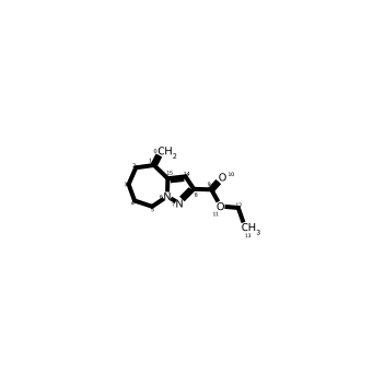 C=C1CCCCn2nc(C(=O)OCC)cc21